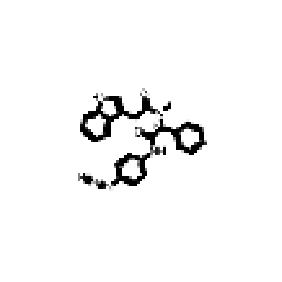 CN(C(=O)Cc1c[nH]c2ccccc12)[C@H](C(=O)Nc1ccc(N=[N+]=[N-])cc1)c1ccccc1